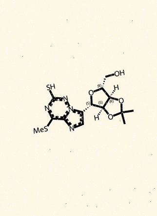 CSc1nc(S)nn2c([C@@H]3O[C@H](CO)[C@H]4OC(C)(C)O[C@H]43)cnc12